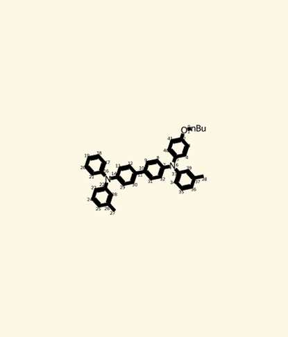 CCCCOc1ccc(N(c2ccc(-c3ccc(N(c4ccccc4)c4cccc(C)c4)cc3)cc2)c2cccc(C)c2)cc1